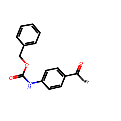 CC(C)C(=O)c1ccc(NC(=O)OCc2ccccc2)cc1